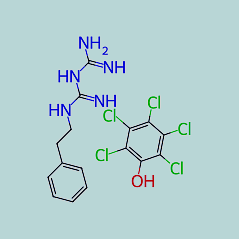 N=C(N)NC(=N)NCCc1ccccc1.Oc1c(Cl)c(Cl)c(Cl)c(Cl)c1Cl